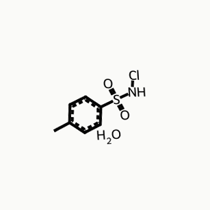 Cc1ccc(S(=O)(=O)NCl)cc1.O